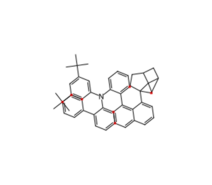 CC(C)(C)c1cc(N(c2ccccc2-c2ccccc2)c2ccccc2-c2cccc3cccc(C45CCC6CC(C4)C65C)c23)cc(C(C)(C)C)c1